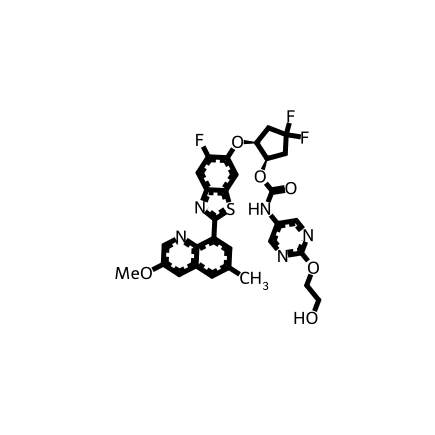 COc1cnc2c(-c3nc4cc(F)c(O[C@H]5CC(F)(F)C[C@H]5OC(=O)Nc5cnc(OCCO)nc5)cc4s3)cc(C)cc2c1